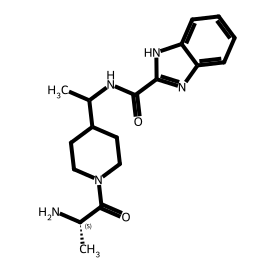 CC(NC(=O)c1nc2ccccc2[nH]1)C1CCN(C(=O)[C@H](C)N)CC1